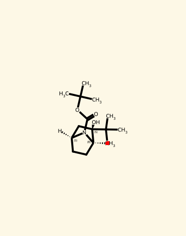 CC(C)(C)OC(=O)N1[C@H]2CC[C@@H]1[C@@](O)(C(C)(C)C)C2